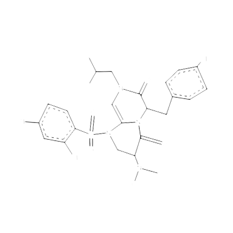 CN(C)C1CN(S(=O)(=O)c2ccc(Cl)cc2Cl)C2=CN(CC(F)F)C(=O)C(Cc3ccc(Cl)cc3)N2C1=O